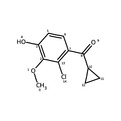 COc1c(O)ccc(C(=O)C2CC2)c1Cl